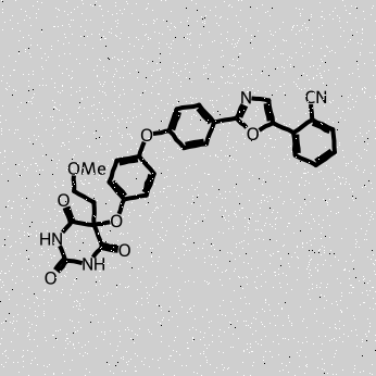 COCCC1(Oc2ccc(Oc3ccc(-c4ncc(-c5ccccc5C#N)o4)cc3)cc2)C(=O)NC(=O)NC1=O